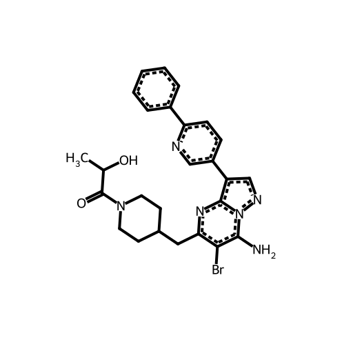 CC(O)C(=O)N1CCC(Cc2nc3c(-c4ccc(-c5ccccc5)nc4)cnn3c(N)c2Br)CC1